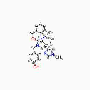 CC(C)c1cccc(C(C)C)c1NC(=O)N(Cc1ccc(O)cc1)CC1(c2cn(C)cn2)CCCCC1